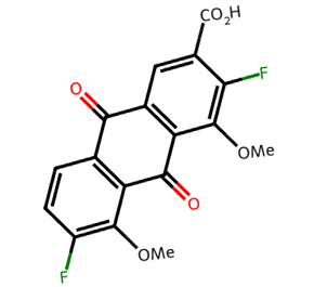 COc1c(F)ccc2c1C(=O)c1c(cc(C(=O)O)c(F)c1OC)C2=O